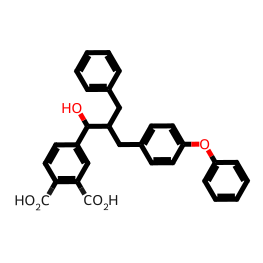 O=C(O)c1ccc(C(O)C(Cc2ccccc2)Cc2ccc(Oc3ccccc3)cc2)cc1C(=O)O